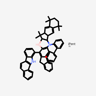 CCC[C@H](C)c1ccc(N2c3cc4c(c(-c5cccc6c5[nH]c5c7ccccc7ccc65)c3BC3C2C2C=C5C(=CC2C3(C)C)C(C)(C)CCC5(C)C)Cc2ccccc2-4)c(-c2ccccc2)c1